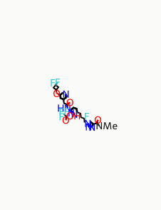 CNC(=O)c1cn(CC(F)CCc2ccc(NC(=O)Cc3cncc(OC4CC(F)(F)C4)c3)nn2)nn1.O=C(O)C(F)(F)F